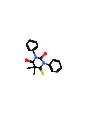 CC1(C)C(=O)N(c2ccccc2)C(=O)N(c2ccccc2)C1=S